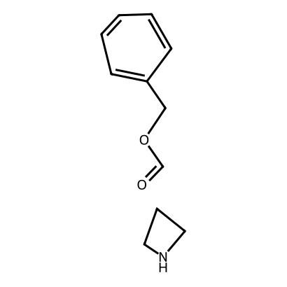 C1CNC1.O=COCc1ccccc1